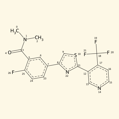 CN(C)C(=O)c1cc(-c2csc(-c3cnccc3C(F)(F)F)n2)ccc1F